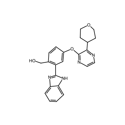 OCc1ccc(Oc2nccnc2C2CCOCC2)cc1-c1nc2ccccc2[nH]1